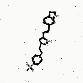 CS(=O)(=O)c1ccc(/C=C/c2cc(/C=C/c3ccc4cc[nH]c4c3)[nH]n2)cc1